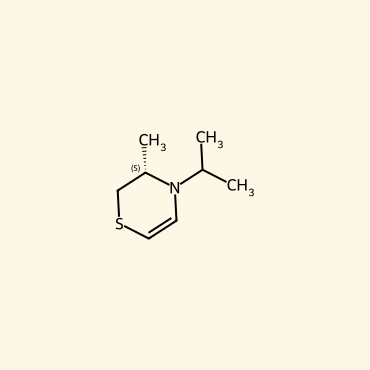 CC(C)N1C=CSC[C@@H]1C